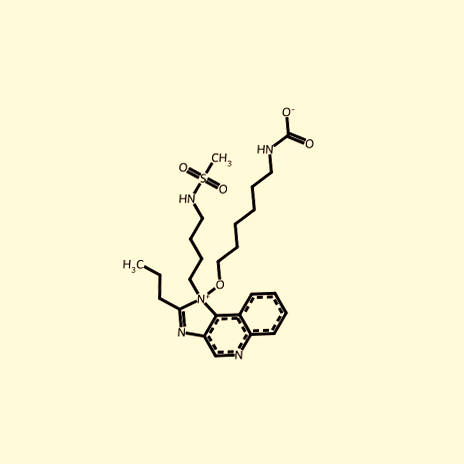 CCCC1=Nc2cnc3ccccc3c2[N+]1(CCCCNS(C)(=O)=O)OCCCCCCNC(=O)[O-]